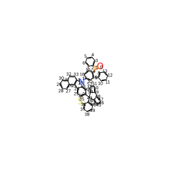 O=P(c1ccccc1)(c1ccccc1)c1ccc(-n2c3cc4c(cc3c3c5ccccc5ccc32)Sc2ccccc2C42c3ccccc3-c3ccccc32)cc1